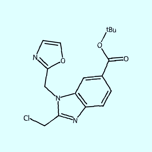 CC(C)(C)OC(=O)c1ccc2nc(CCl)n(Cc3ncco3)c2c1